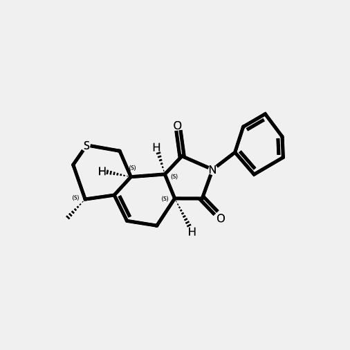 C[C@@H]1CSC[C@@H]2C1=CC[C@@H]1C(=O)N(c3ccccc3)C(=O)[C@@H]12